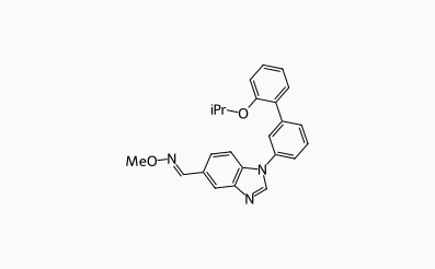 CON=Cc1ccc2c(c1)ncn2-c1cccc(-c2ccccc2OC(C)C)c1